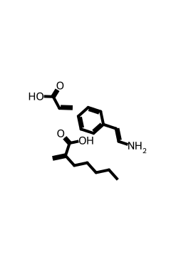 C=C(CCCCC)C(=O)O.C=CC(=O)O.NC=Cc1ccccc1